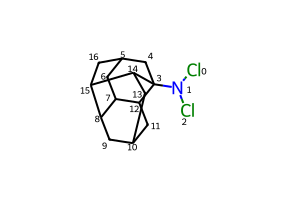 ClN(Cl)C12CC3CC4C5CC(CC41)CC2C5C3